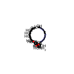 CC1OC(O[C@H]2/C=C/C=C/C=C/C=C/CC/C=C/C=C/[C@H](C)[C@@H](O)C[C@H](I)OC(=O)C[C@H](O)C[C@H](O)C[C@H](O)CC[C@@H](O)[C@H](O)C[C@]3(O)C[C@H](O)[C@@H](C(=O)O)C(C2)O3)C(O)C(N)C1O